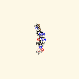 CC(C)(C)OC(=O)N1C[C@@H]2[C@H](C1)[C@H]2C(=O)NC(C)(C)c1ncc2c(Sc3nccs3)cccn12